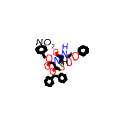 O=C(COc1ccccc1)N[C@@H]1C(=O)N2C(C(=O)OCc3ccc([N+](=O)[O-])cc3)C(OC(c3ccccc3)c3ccccc3)=CS[C@@H]12